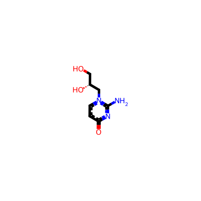 Nc1nc(=O)ccn1C[C@H](O)CO